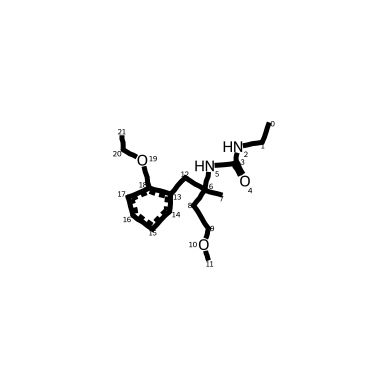 [CH2]CNC(=O)NC(C)(CCOC)Cc1ccccc1OCC